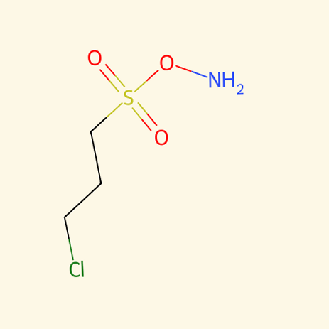 NOS(=O)(=O)CCCCl